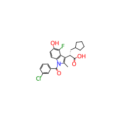 Cc1c([C@H](CC2CCCC2)C(=O)O)c2c(F)c(O)ccc2n1C(=O)c1cccc(Cl)c1